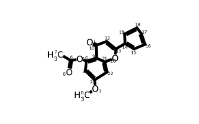 COc1cc(OC(C)=O)c2c(=O)cc(-c3ccccc3)oc2c1